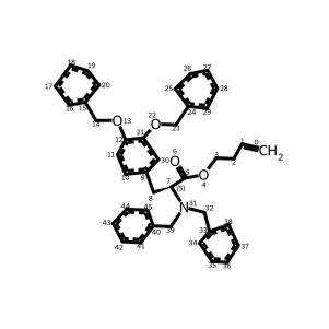 C=CCCOC(=O)[C@H](Cc1ccc(OCc2ccccc2)c(OCc2ccccc2)c1)N(Cc1ccccc1)Cc1ccccc1